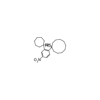 NC1(c2cc([N+](=O)[O-])ccc2C2(O)CCCCCCCCC2)CCCCCC1